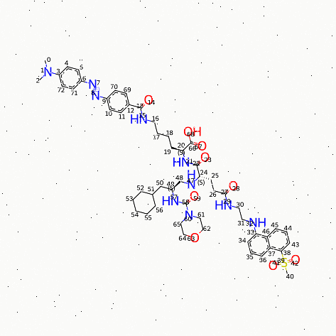 CN(C)c1ccc(/N=N/c2ccc(C(=O)NCCCC[C@H](NC(=O)[C@H](CCC(=O)NCCNc3cccc4c(S(C)(=O)=O)cccc34)NC[C@H](CC3CCCCC3)NC(=O)N3CCOCC3)C(=O)O)cc2)cc1